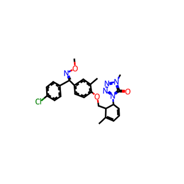 CON=C(c1ccc(Cl)cc1)c1ccc(OCC2C(C)=CC=CC2n2nnn(C)c2=O)c(C)c1